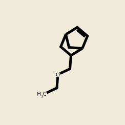 CCOCC1CC2C=CC1C2